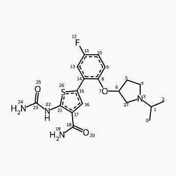 CC(C)N1CCC(Oc2ccc(F)cc2-c2cc(C(N)=O)c(NC(N)=O)s2)C1